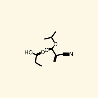 C=C(C#N)C(=O)OC(C)C.CCC(=O)O